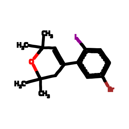 CC1(C)C=C(c2cc(Br)ccc2I)CC(C)(C)O1